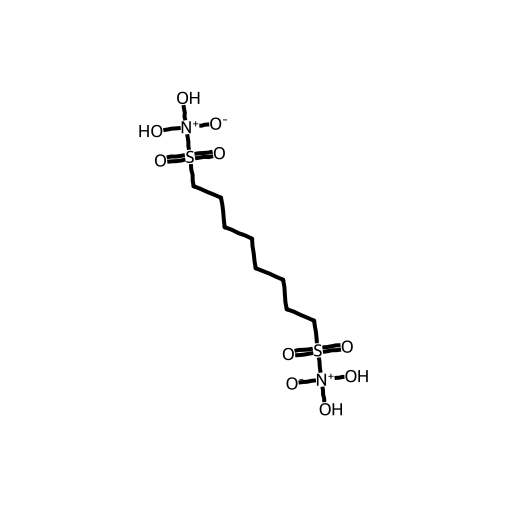 O=S(=O)(CCCCCCCCS(=O)(=O)[N+]([O-])(O)O)[N+]([O-])(O)O